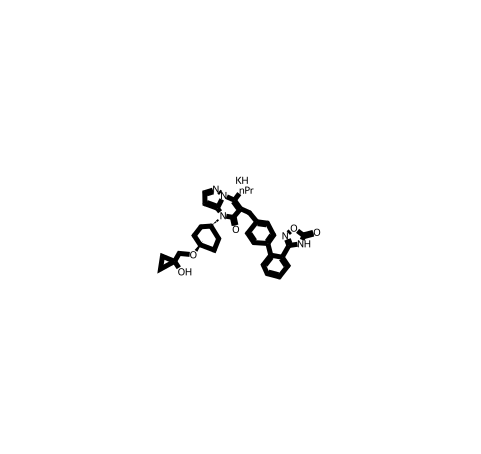 CCCc1c(Cc2ccc(-c3ccccc3-c3noc(=O)[nH]3)cc2)c(=O)n([C@H]2CC[C@H](OCC3(O)CC3)CC2)c2ccnn12.[KH]